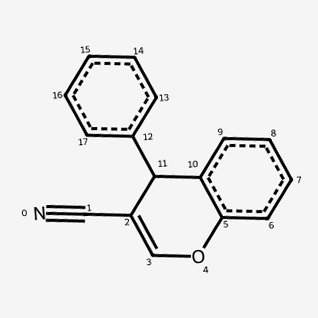 N#CC1=COc2ccccc2C1c1ccccc1